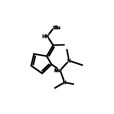 CC(NC(C)(C)C)=C1C=CC=[C]1[Mo]([N](C)C)[N](C)C